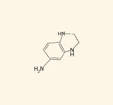 Nc1ccc2c(c1)NCCN2